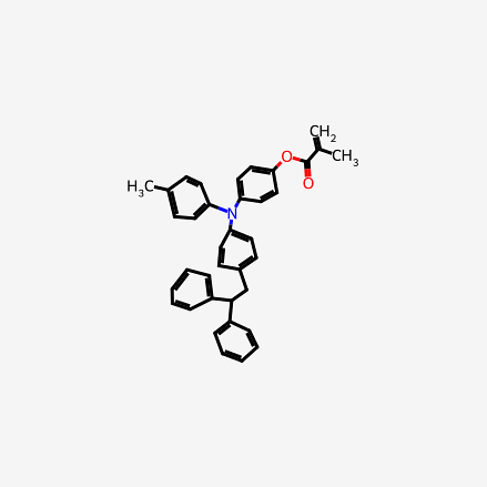 C=C(C)C(=O)Oc1ccc(N(c2ccc(C)cc2)c2ccc(CC(c3ccccc3)c3ccccc3)cc2)cc1